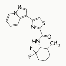 C[C@@H]1CCCC(F)(F)[C@@H]1NC(=O)c1nc(-c2cnn3ccccc23)cs1